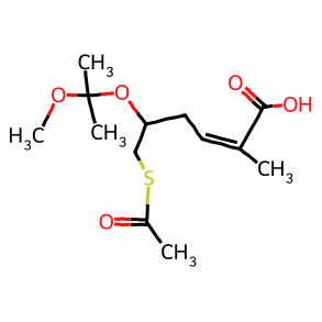 COC(C)(C)OC(CC=C(C)C(=O)O)CSC(C)=O